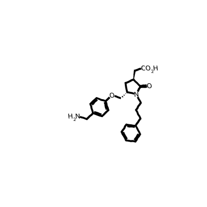 NCc1ccc(OC[C@@H]2C[C@@H](CC(=O)O)C(=O)N2CCCc2ccccc2)cc1